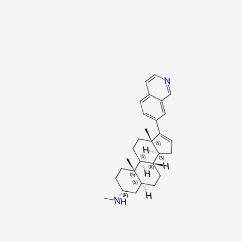 CN[C@@H]1CC[C@@]2(C)[C@@H](CC[C@@H]3[C@@H]2CC[C@]2(C)C(c4ccc5ccncc5c4)=CC[C@@H]32)C1